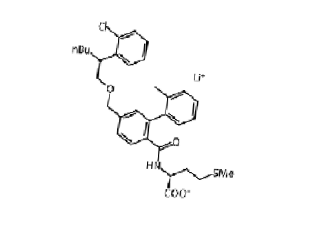 CCCCC(COCc1ccc(C(=O)N[C@@H](CCSC)C(=O)[O-])c(-c2ccccc2C)c1)c1ccccc1Cl.[Li+]